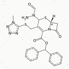 Cn1nnnc1SCC1=C(C(=O)OC(c2ccccc2)c2ccccc2)N2C(=O)C[C@H]2SC1N(N)C=O